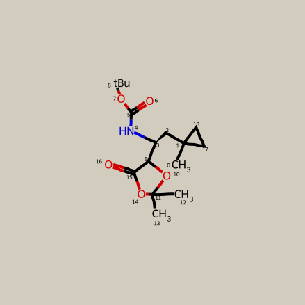 CC1(C[C@H](NC(=O)OC(C)(C)C)C2OC(C)(C)OC2=O)CC1